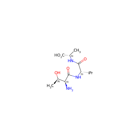 CC(C)[C@H](NC(=O)[C@@H](N)[C@@H](C)O)C(=O)N[C@@H](C)C(=O)O